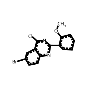 COc1ccccc1-c1nc(Cl)c2cc(Br)ccc2n1